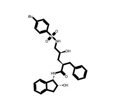 CCC(C)c1ccc(S(=O)(=O)NC[C@@H](O)C[C@@H](Cc2ccccc2)C(=O)N[C@H]2c3ccccc3C[C@H]2O)cc1